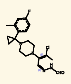 C/C(Cl)=C(\C=N/NC=O)N1CCN(C2(c3ccc(F)cc3C)CC2)CC1